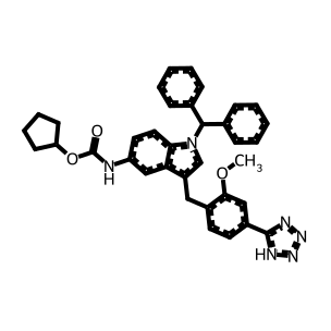 COc1cc(-c2nnn[nH]2)ccc1Cc1cn(C(c2ccccc2)c2ccccc2)c2ccc(NC(=O)OC3CCCC3)cc12